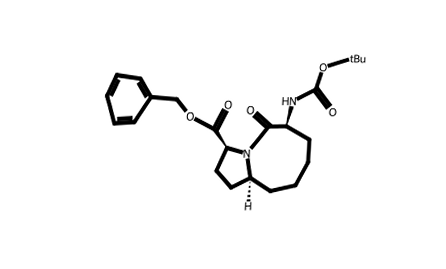 CC(C)(C)OC(=O)N[C@H]1CCCC[C@H]2CC[C@@H](C(=O)OCc3ccccc3)N2C1=O